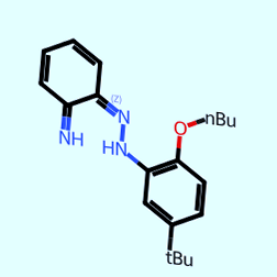 CCCCOc1ccc(C(C)(C)C)cc1N/N=C1/C=CC=CC1=N